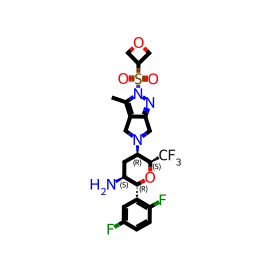 Cc1c2c(nn1S(=O)(=O)C1COC1)CN([C@@H]1C[C@H](N)[C@@H](c3cc(F)ccc3F)O[C@@H]1C(F)(F)F)C2